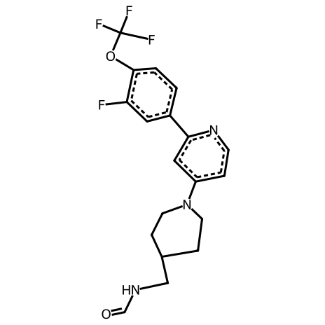 O=CNCC1CCN(c2ccnc(-c3ccc(OC(F)(F)F)c(F)c3)c2)CC1